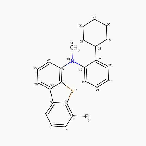 CCc1cccc2c1sc1c(N(C)c3ccccc3C3CCCCC3)cccc12